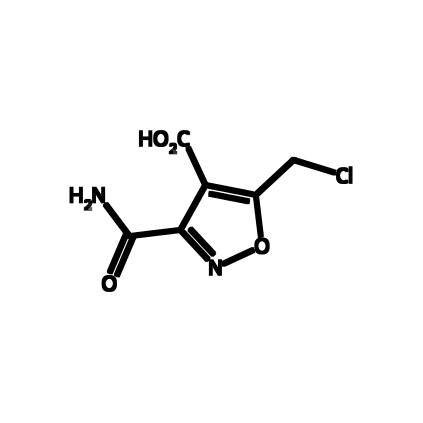 NC(=O)c1noc(CCl)c1C(=O)O